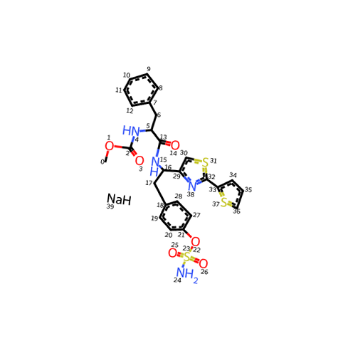 COC(=O)NC(Cc1ccccc1)C(=O)NC(Cc1ccc(OS(N)(=O)=O)cc1)c1csc(-c2cccs2)n1.[NaH]